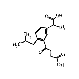 CC(C)Cc1ccc(C(C)C(=O)O)cc1C(=O)CCC(=O)O